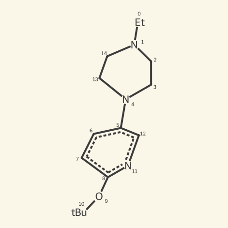 CCN1CCN(c2ccc(OC(C)(C)C)nc2)CC1